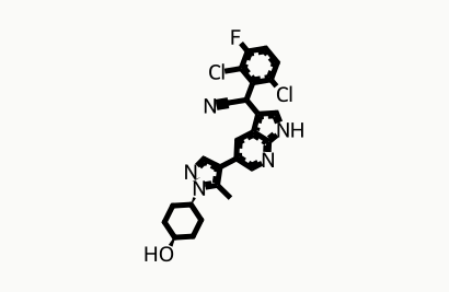 Cc1c(-c2cnc3[nH]cc(C(C#N)c4c(Cl)ccc(F)c4Cl)c3c2)cnn1[C@H]1CC[C@H](O)CC1